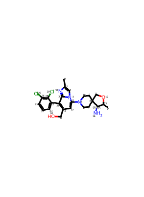 Cc1cn2c(N3CCC4(CC3)COC(C)[C@H]4N)cc(CO)c(-c3cccc(Cl)c3Cl)c2n1